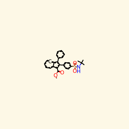 COC(=O)c1c2cccccc-2c(-c2ccccc2)c1-c1ccc(S(=O)(=O)NC(C)(C)C)cc1